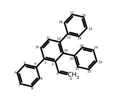 C=Cc1c(-c2ccccc2)ccc(-c2ccccc2)c1-c1ccccc1